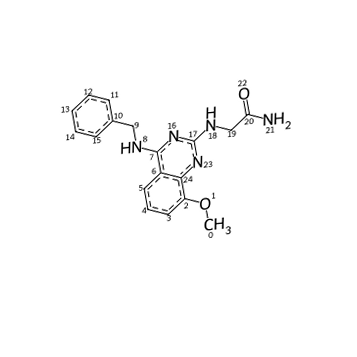 COc1cccc2c(NCc3ccccc3)nc(NCC(N)=O)nc12